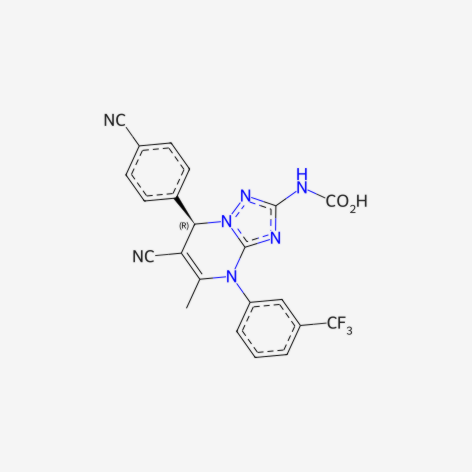 CC1=C(C#N)[C@@H](c2ccc(C#N)cc2)n2nc(NC(=O)O)nc2N1c1cccc(C(F)(F)F)c1